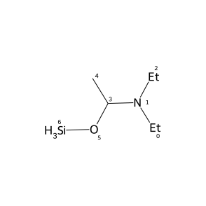 CCN(CC)C(C)O[SiH3]